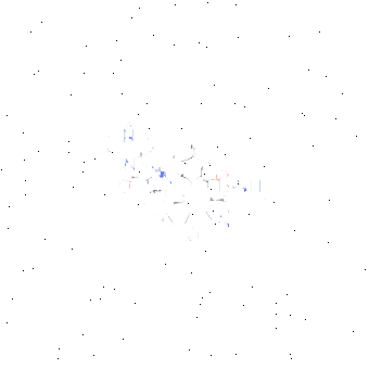 COc1cc2c(cc1-c1cncc(C(N)=O)c1)-c1c(c(C(=O)N3CCCN(C)CC3(C)C)nn1-c1cc(Cl)cc(Cl)c1)CC2